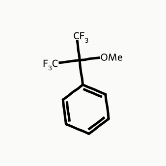 COC(c1ccccc1)(C(F)(F)F)C(F)(F)F